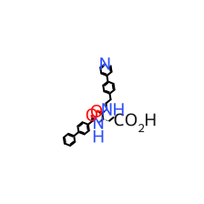 O=C(O)CC[C@H](NC(=O)c1ccc(-c2ccccc2)cc1)C(=O)NCCc1ccc(-c2ccncc2)cc1